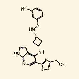 N#Cc1cccc(SN[C@H]2C[C@@H](Nc3c(-c4nc(CO)co4)cnc4[nH]ccc34)C2)c1